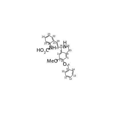 COc1cc2c(cc1OCc1ccccc1)CCNC2C=Cc1ccccc1NC(=O)O